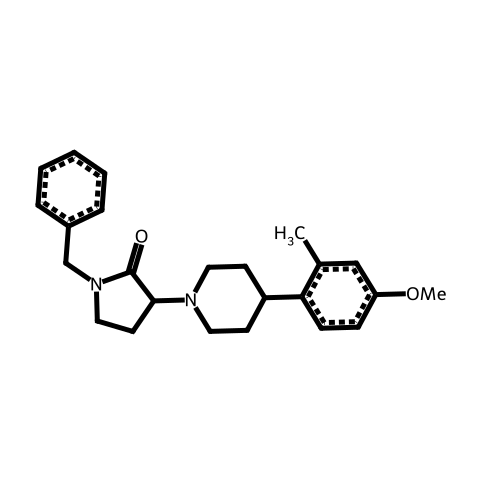 COc1ccc(C2CCN(C3CCN(Cc4ccccc4)C3=O)CC2)c(C)c1